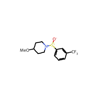 COC1CCN([S+]([O-])c2cccc(C(F)(F)F)c2)CC1